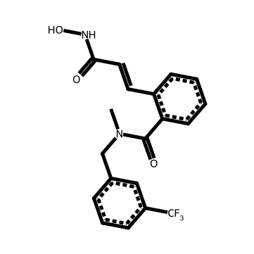 CN(Cc1cccc(C(F)(F)F)c1)C(=O)c1ccccc1C=CC(=O)NO